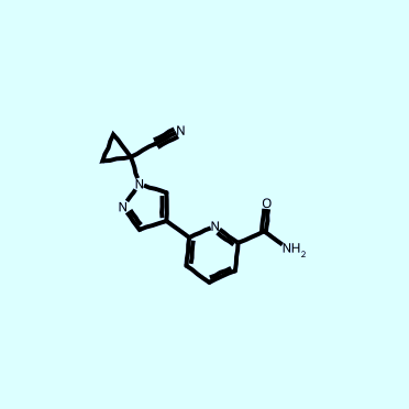 N#CC1(n2cc(-c3cccc(C(N)=O)n3)cn2)CC1